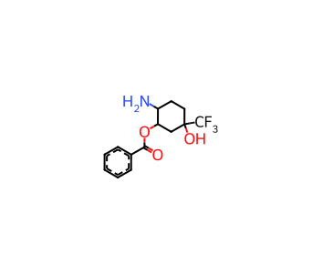 NC1CCC(O)(C(F)(F)F)CC1OC(=O)c1ccccc1